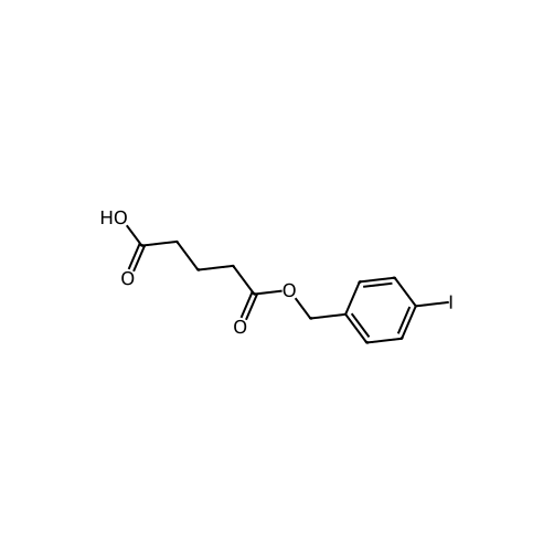 O=C(O)CCCC(=O)OCc1ccc(I)cc1